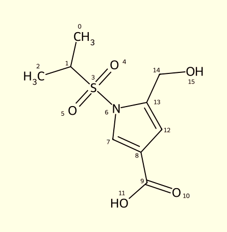 CC(C)S(=O)(=O)n1cc(C(=O)O)cc1CO